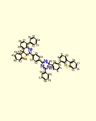 CC1(c2cccc(-c3cccc4c3sc3ccccc34)c2)N=C(c2ccc(C3=Nc4c(-c5ccccc5)cccc4C4(C)c5ccccc5SC34)cc2)N=C(c2ccccc2)N1